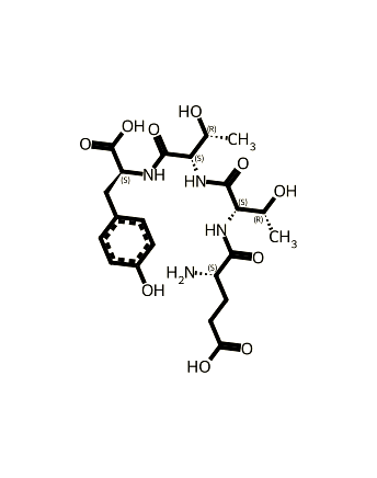 C[C@@H](O)[C@H](NC(=O)[C@@H](NC(=O)[C@@H](N)CCC(=O)O)[C@@H](C)O)C(=O)N[C@@H](Cc1ccc(O)cc1)C(=O)O